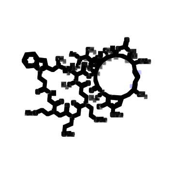 CNN(C)Cc1cc2ccccc2n1CCC(=O)NCC(=O)N(CCOC)CC(=O)N(CCOC)CC(=O)N(CCOC)CCC(=O)N(C)C(C)C(=O)O[C@]1(OC(=O)[C@H](C)N(C)C(C)=O)CC(=O)N(C)c2cc(cc(OC)c2Cl)C/C(C)=C/C=C/C(OC)[C@@]2(O)C[C@H](OC(=O)N2)[C@@H](C)[C@@H]2O[C@]21C